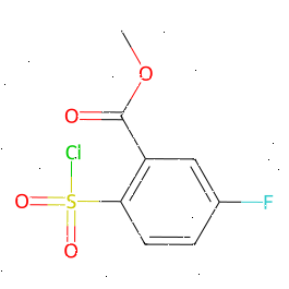 COC(=O)c1cc(F)ccc1S(=O)(=O)Cl